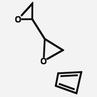 C1=CC=C1.C1OC1C1CO1